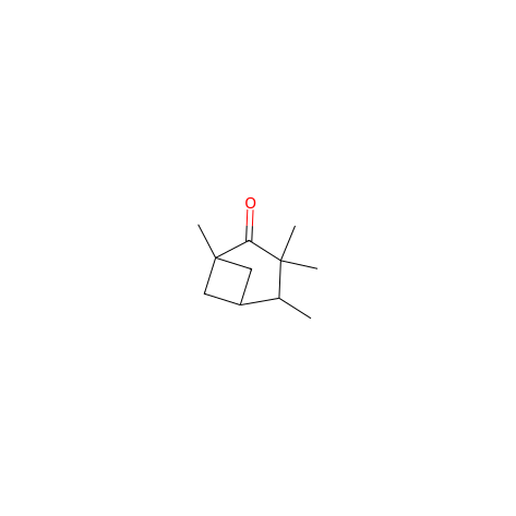 CC1C2CC(C)(C2)C(=O)C1(C)C